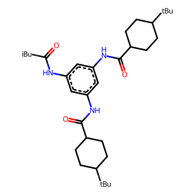 CCC(C)C(=O)Nc1cc(NC(=O)C2CCC(C(C)(C)C)CC2)cc(NC(=O)C2CCC(C(C)(C)C)CC2)c1